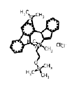 C[Si](C)(C)OCC[Si](C)(C)C1=Cc2ccccc2C1c1c2c(cc3c1[Si]3(C)C)-c1ccccc1[CH]2[Zr+2].[Cl-].[Cl-]